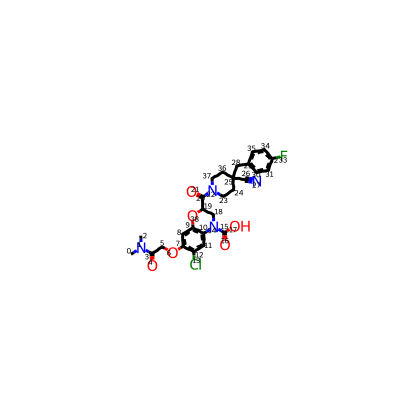 CN(C)C(=O)COc1cc2c(cc1Cl)N(C(=O)O)CC(C(=O)N1CCC(C#N)(Cc3ccc(F)cc3)CC1)O2